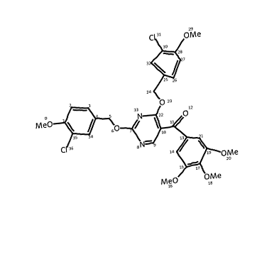 COc1ccc(COc2ncc(C(=O)c3cc(OC)c(OC)c(OC)c3)c(OCc3ccc(OC)c(Cl)c3)n2)cc1Cl